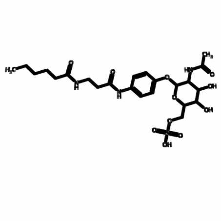 CCCCCC(=O)NCCC(=O)Nc1ccc(OC2OC(COS(=O)(=O)O)C(O)C(O)C2NC(C)=O)cc1